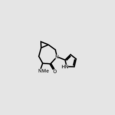 CNC1CC2CC2CN(c2ccc[nH]2)C1=O